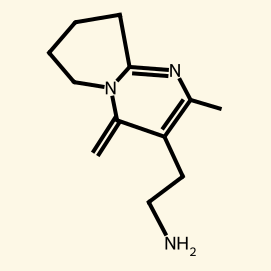 C=C1C(CCN)=C(C)N=C2CCCCN12